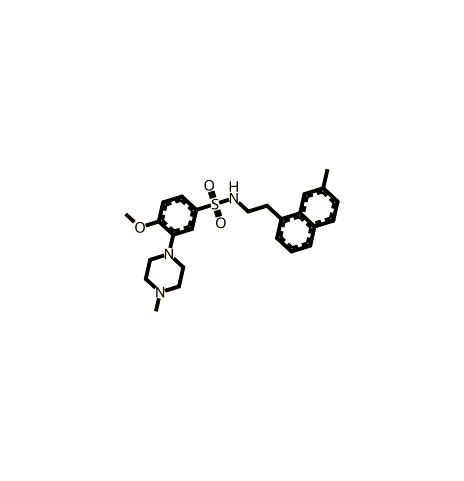 COc1ccc(S(=O)(=O)NCCc2cccc3ccc(C)cc23)cc1N1CCN(C)CC1